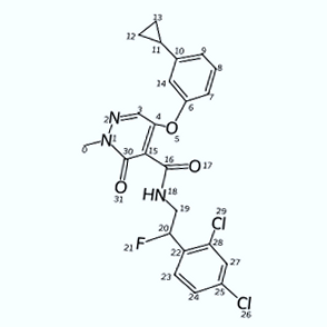 Cn1ncc(Oc2cccc(C3CC3)c2)c(C(=O)NCC(F)c2ccc(Cl)cc2Cl)c1=O